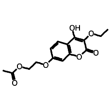 CCOc1c(O)c2ccc(OCCOC(C)=O)cc2oc1=O